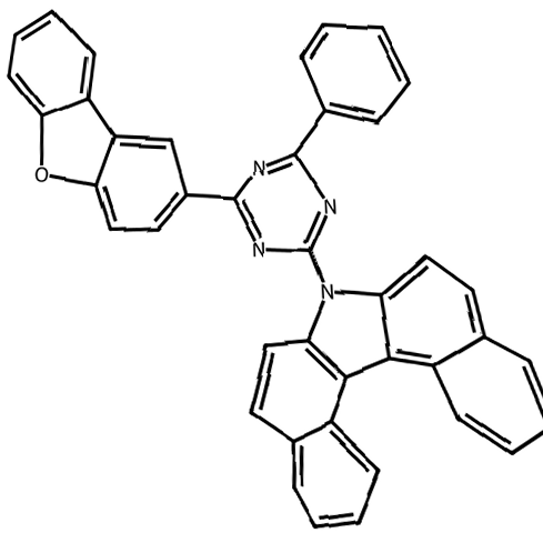 c1ccc(-c2nc(-c3ccc4oc5ccccc5c4c3)nc(-n3c4ccc5ccccc5c4c4c5ccccc5ccc43)n2)cc1